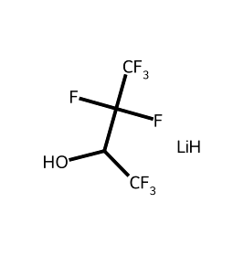 OC(C(F)(F)F)C(F)(F)C(F)(F)F.[LiH]